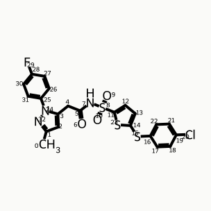 Cc1cc(CC(=O)NS(=O)(=O)c2ccc(Sc3ccc(Cl)cc3)s2)n(-c2ccc(F)cc2)n1